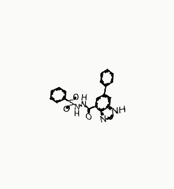 O=C(NNS(=O)(=O)c1ccccc1)c1cc(-c2ccccc2)cc2[nH]cnc12